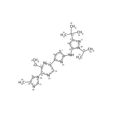 COc1nc(-c2csc(Nc3cc(C(C)(C)C)nn3C(C)C)n2)cnc1-n1cnc(C)c1